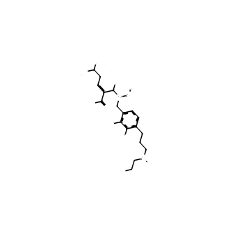 C=C(C)/C(=C/CC(C)C)C(C)N(Cc1ccc(CCCN(C)CCC)c(F)c1F)NC